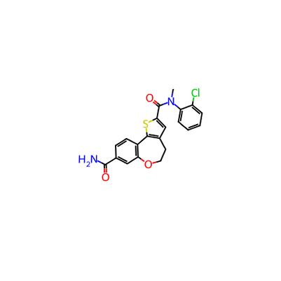 CN(C(=O)c1cc2c(s1)-c1ccc(C(N)=O)cc1OCC2)c1ccccc1Cl